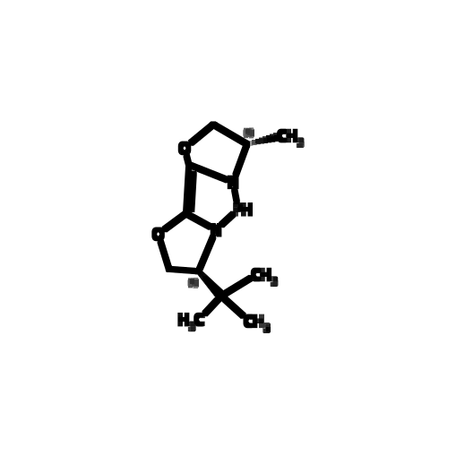 C[C@H]1COC2=C3OC[C@H](C(C)(C)C)N3PN21